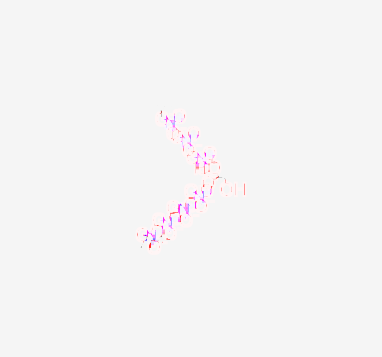 O=C(O)CO.O=[N+]([O-])[O-].O=[N+]([O-])[O-].O=[N+]([O-])[O-].O=[N+]([O-])[O-].O=[N+]([O-])[O-].O=[N+]([O-])[O-].O=[N+]([O-])[O-].[Y+3].[Zr+4]